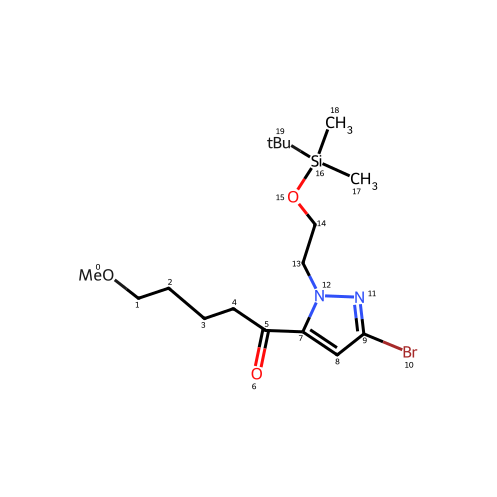 COCCCCC(=O)c1cc(Br)nn1CCO[Si](C)(C)C(C)(C)C